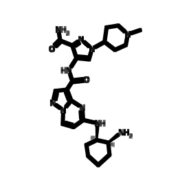 CN1CCC(n2cc(NC(=O)c3cnn4ccc(N[C@@H]5CCCC[C@@H]5N)nc34)c(C(N)=O)n2)CC1